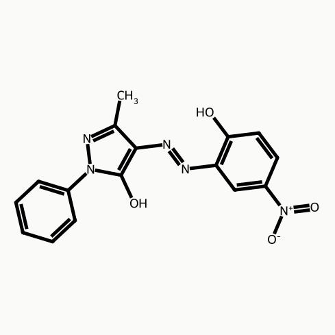 Cc1nn(-c2ccccc2)c(O)c1N=Nc1cc([N+](=O)[O-])ccc1O